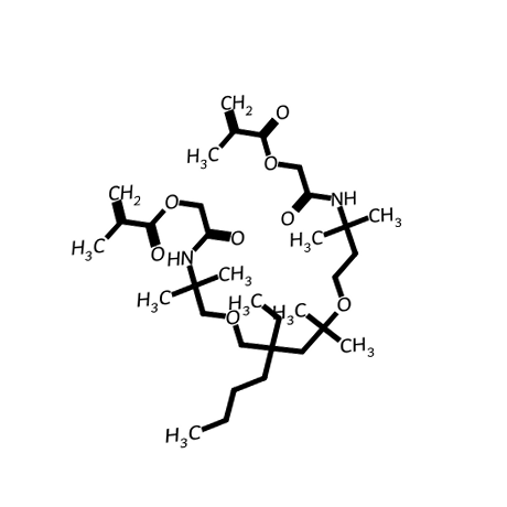 C=C(C)C(=O)OCC(=O)NC(C)(C)CCOC(C)(C)CC(CC)(CCCC)COCC(C)(C)NC(=O)COC(=O)C(=C)C